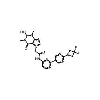 CN1C(=O)c2c(ncn2CC(=O)Nc2ccnc(-c3cnc(N4CC(F)(F)C4)nc3)n2)N(C)C1O